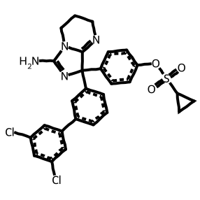 NC1=NC(c2ccc(OS(=O)(=O)C3CC3)cc2)(c2cccc(-c3cc(Cl)cc(Cl)c3)c2)C2=NCCCN12